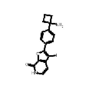 NC1(c2ccc(-c3oc4c(=O)[nH]ccc4c3I)cc2)CCC1